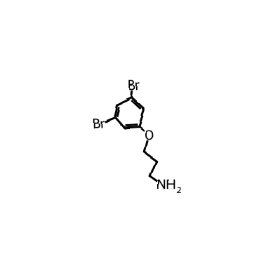 NCCCOc1cc(Br)cc(Br)c1